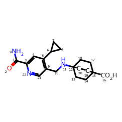 NC(=O)c1cc(C2CC2)c(CNC23CCC(C(=O)O)(CC2)CC3)cn1